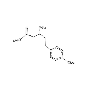 COC(=O)CC(CCc1ccc(OC)cc1)NC(C)=O